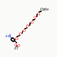 CCC(=O)OCc1ccc(NI)cc1OCCOCCOCCOCCOCCOCCOCCOC